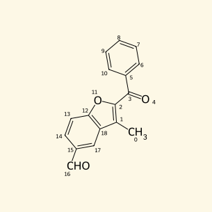 Cc1c(C(=O)c2ccccc2)oc2ccc(C=O)cc12